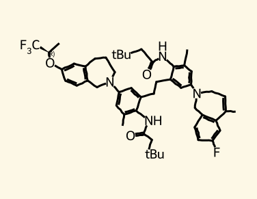 CC1=CCN(c2cc(C)c(NC(=O)CC(C)(C)C)c(CCc3cc(N4CCCc5cc(O[C@H](C)C(F)(F)F)ccc5C4)cc(C)c3NC(=O)CC(C)(C)C)c2)Cc2ccc(F)cc21